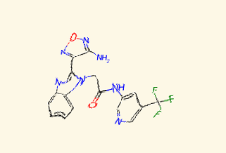 Nc1nonc1-c1nc2ccccc2n1CC(=O)Nc1cncc(C(F)(F)F)c1